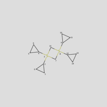 C1CC1S1(C2CC2)CS(C2CC2)(C2CC2)C1